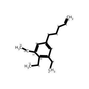 C=CCCCc1cc(CC)c(CC)c(CC)c1